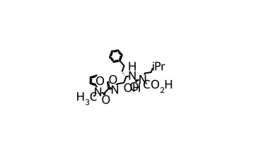 CC(C)CCN(C(=O)O)C(=O)N[C@@H](CCc1ccccc1)C(O)c1nc(C(=O)N(C)c2ccco2)co1